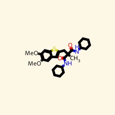 COc1cc2cc(CC(C)(C(=O)NC3CCCCC3)C(=O)NC3CCCCC3)sc2cc1OC